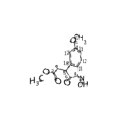 COC(=O)CC1C(=O)C(=NO)c2ccc(OC)cc21